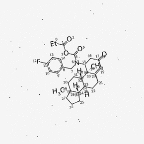 CCC(=O)OC(=O)N(Cc1ccc(F)cc1)C1CC(=O)C=C2CC[C@H]3[C@@H]4CCC[C@@]4(C)CC[C@@H]3[C@]21C